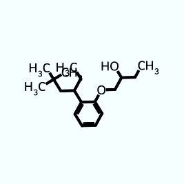 CCC(O)COc1ccccc1C(CC)CC(C)(C)C